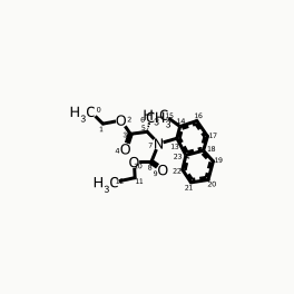 CCOC(=O)[C@H](C)N(C(=O)OCC)c1c(C)ccc2ccccc12